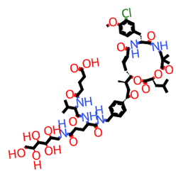 COc1ccc(C[C@H]2NC(=O)/C=C/C[C@@H]([C@H](C)[C@H]3O[C@@H]3c3ccc(CNC(=O)C(CCC(=O)NC[C@H](O)[C@@H](O)[C@H](O)[C@H](O)CO)NC(=O)C(NC(=O)CCCC(=O)O)C(C)C)cc3)OC(=O)[C@H](CC(C)C)OC(=O)C(C)(C)CNC2=O)cc1Cl